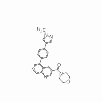 Cn1cc(-c2ccc(-c3cncc4ncc(C(=O)N5CCOCC5)cc34)cc2)cn1